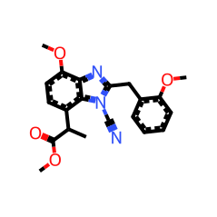 COC(=O)C(C)c1ccc(OC)c2nc(Cc3ccccc3OC)n(C#N)c12